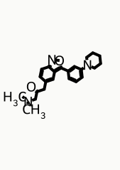 CN(C)CC(=O)Cc1ccc2noc(-c3cccc(N4CCCCC4)c3)c2c1